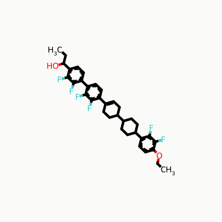 CCOc1ccc(C2CCC(C3CC=C(c4ccc(-c5ccc(C(O)CC)c(F)c5F)c(F)c4F)CC3)CC2)c(F)c1F